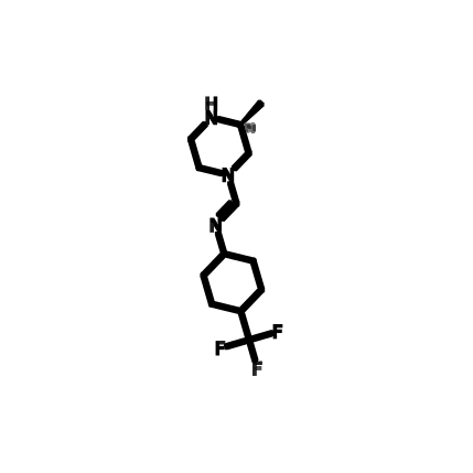 C[C@H]1CN(C=NC2CCC(C(F)(F)F)CC2)CCN1